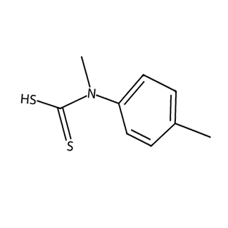 Cc1ccc(N(C)C(=S)S)cc1